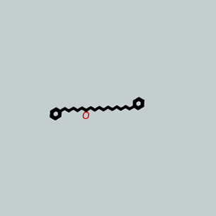 O=C(CCCCCCCCCCc1ccccc1)CCCCCc1ccccc1